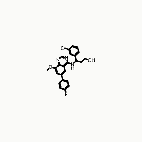 COc1cc(-c2ccc(F)cc2)cc2c(NC(CCO)c3cccc(Cl)c3)ncnc12